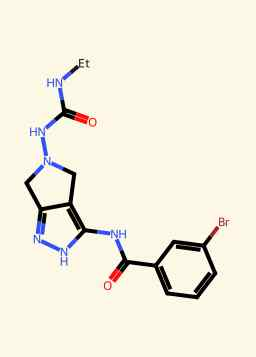 CCNC(=O)NN1Cc2n[nH]c(NC(=O)c3cccc(Br)c3)c2C1